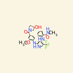 CNC(=O)c1ccccc1Nc1cc(Nc2ccc(C(=O)N3CC[C@H](O)C3)cc2OC)ncc1C(F)(F)F